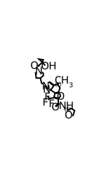 C[C@@H]1Cc2oc(C(=O)NC[C@@H]3CCCO3)c(C(F)(F)F)c2-c2nn(CC3CCN(C(=O)C4(O)CC4)CC3)cc21